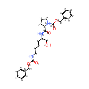 O=C(NCCCCC(CO)NC(=O)C1CCCN1C(=O)OCc1ccccc1)OCc1ccccc1